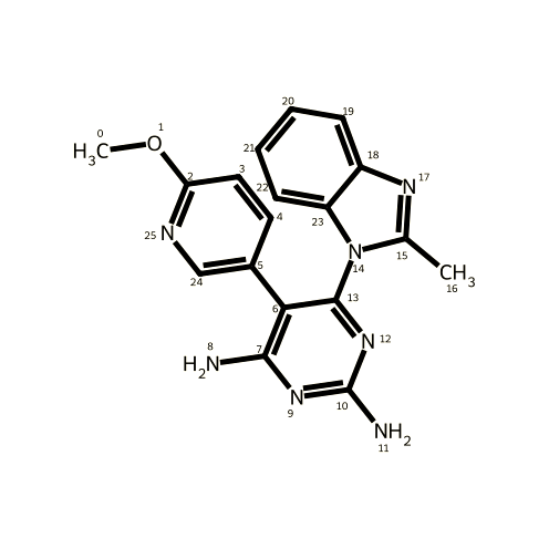 COc1ccc(-c2c(N)nc(N)nc2-n2c(C)nc3ccccc32)cn1